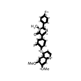 COc1cc2nccc(Oc3ccc(-c4cnc(-c5ccc(F)cc5)n(C)c4=O)cc3F)c2cc1OC